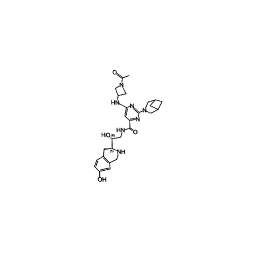 CC(=O)N1CC(Nc2cc(C(=O)NC[C@@H](O)[C@@H]3Cc4ccc(O)cc4CN3)nc(N3CC4CC(C4)C3)n2)C1